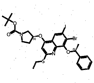 CCSc1cc(O[C@H]2CCN(C(=O)OC(C)(C)C)C2)c2cc(I)c(Br)c(O[C@@H](C)c3ccccc3)c2n1